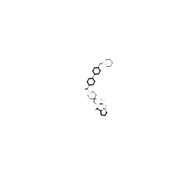 O=C(c1ccc(-c2ccc(C(=O)N3CCC(O)(Cn4cnn5cccc5c4=O)CC3)cc2)cc1)N1CCCCC1